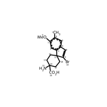 COc1cc2c(cc1C)C=C(Br)C21CCC(N)(C(=O)O)CC1